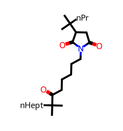 CCCCCCCC(C)(C)C(=O)CCCCCN1C(=O)CC(C(C)(C)CCC)C1=O